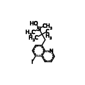 CC(C)(Cc1ccc(I)c2cccnc12)[Si](C)(C)O